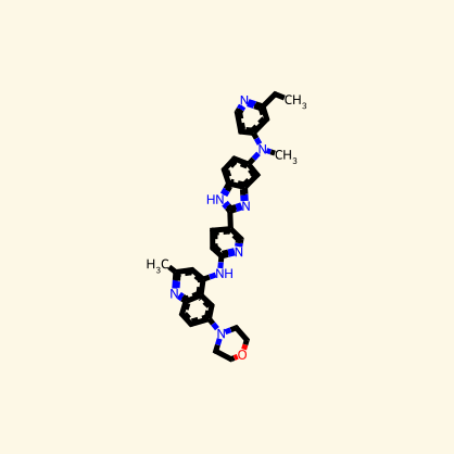 CCc1cc(N(C)c2ccc3[nH]c(-c4ccc(Nc5cc(C)nc6ccc(N7CCOCC7)cc56)nc4)nc3c2)ccn1